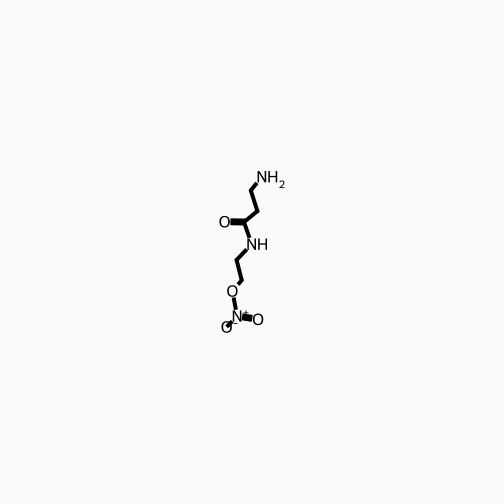 NCCC(=O)NCCO[N+](=O)[O-]